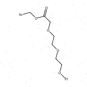 CCOCCOCCOCC(=O)OCC(C)=O